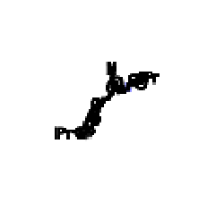 CC(C)CCC[C@@H](C)[C@H]1CCC2C3CC=C4C[C@@H](OCCCCCC(OC(=O)CCCN(C)C)C(C)(C)C(C)(C)/C=C/COC(=O)C(C)(C)C(C)C)CC[C@]4(C)C3CC[C@@]21C